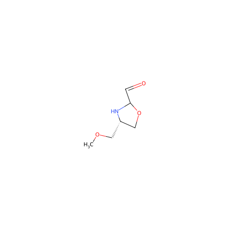 COC[C@H]1COC(C=O)N1